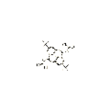 CC(C)(C)c1cc2cc(OC(=O)Cl)c3cc(C(C)(C)C)cc4cc(OC(=O)Cl)c(c1)c2c43